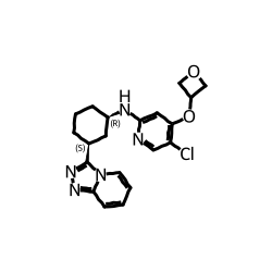 Clc1cnc(N[C@@H]2CCC[C@H](c3nnc4ccccn34)C2)cc1OC1COC1